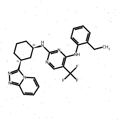 CCc1ccccc1Nc1nc(N[C@@H]2CCC[C@H](c3nnc4ccccn34)C2)ncc1C(F)(F)F